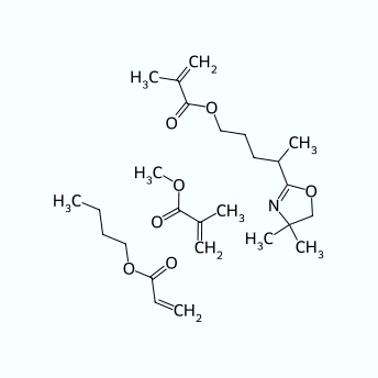 C=C(C)C(=O)OC.C=C(C)C(=O)OCCCC(C)C1=NC(C)(C)CO1.C=CC(=O)OCCCC